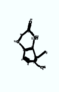 Cc1c(C#N)ccc2c1NC(=O)CO2